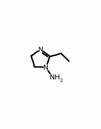 CCC1=NCCN1N